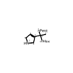 CCCCCCC(C)(CCCCC)C1=CCNC1